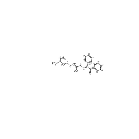 CC(C)OCCOC(=O)CCN(C(=O)C1=CC=C=C=C1)c1ccccn1